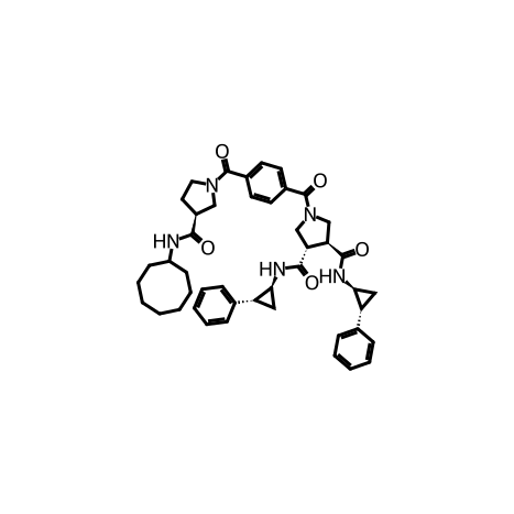 O=C(NC1CCCCCCC1)[C@H]1CCN(C(=O)c2ccc(C(=O)N3C[C@@H](C(=O)N[C@H]4C[C@@H]4c4ccccc4)[C@H](C(=O)N[C@H]4C[C@@H]4c4ccccc4)C3)cc2)C1